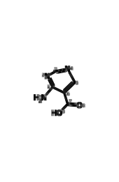 Nc1n[c]ncc1C(=O)O